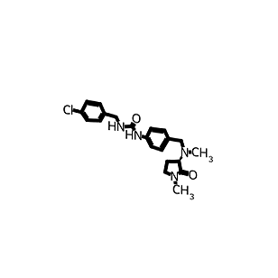 CN1CC[C@@H](N(C)Cc2ccc(NC(=O)NCc3ccc(Cl)cc3)cc2)C1=O